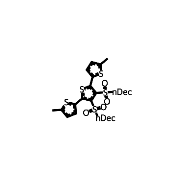 CCCCCCCCCCS(=O)(=O)c1c(-c2ccc(C)s2)sc(-c2ccc(C)s2)c1S(=O)(=O)CCCCCCCCCC